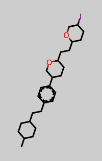 CC1CCC(CCc2ccc(C3CCC(CCC4CCC(I)CO4)OC3)cc2)CC1